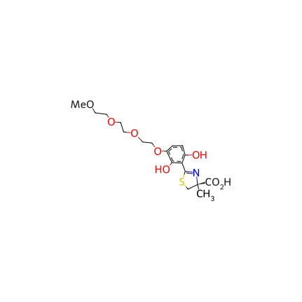 COCCOCCOCCOc1ccc(O)c(C2=N[C@@](C)(C(=O)O)CS2)c1O